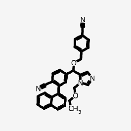 CCOCn1cncc1C(OCc1ccc(C#N)cc1)c1ccc(C#N)c(-c2cccc3ccccc23)c1